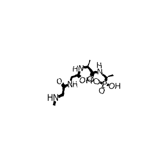 CNCC(=O)NCC(=O)N[C@@H](C)C(=O)N[C@@H](C)P(=O)(O)O